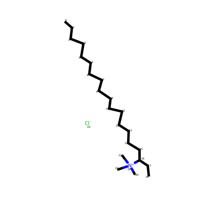 CCCCCCCCCCCCCCCCC(CC)[N+](C)(C)C.[Cl-]